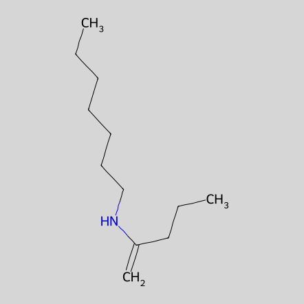 C=C(CCC)NCCCCCCC